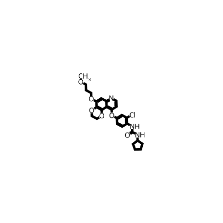 COCCCOc1cc2nccc(Oc3ccc(NC(=O)NC4CCCC4)c(Cl)c3)c2c2c1OCCO2